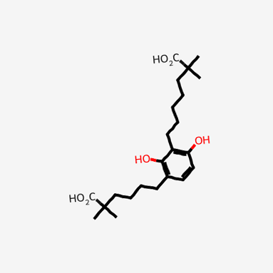 CC(C)(CCCCCc1c(O)ccc(CCCCC(C)(C)C(=O)O)c1O)C(=O)O